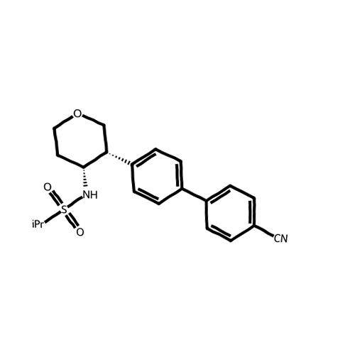 CC(C)S(=O)(=O)N[C@@H]1CCOC[C@@H]1c1ccc(-c2ccc(C#N)cc2)cc1